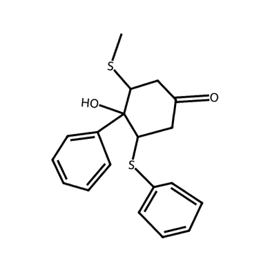 CSC1CC(=O)CC(Sc2ccccc2)C1(O)c1ccccc1